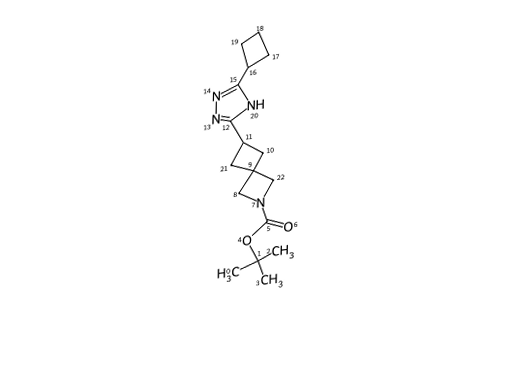 CC(C)(C)OC(=O)N1CC2(CC(c3nnc(C4CCC4)[nH]3)C2)C1